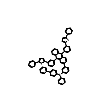 c1ccc(-c2ccc(N(c3ccccc3)c3cccc(-c4ccc5c(-c6cccc(-c7ccc(-c8ccccc8)s7)c6)c6ccccc6c(-c6cccc(-c7ccc(-c8ccccc8)s7)c6)c5c4)c3)cc2)cc1